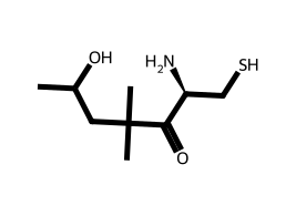 CC(O)CC(C)(C)C(=O)[C@@H](N)CS